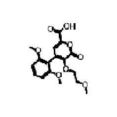 COCCOc1c(-c2c(OC)cccc2OC)cc(C(=O)O)oc1=O